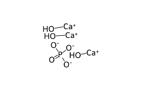 O=P([O-])([O-])[O-].[OH][Ca+].[OH][Ca+].[OH][Ca+]